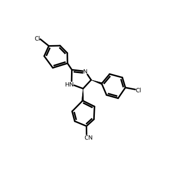 N#Cc1ccc([C@H]2NC(c3ccc(Cl)cc3)=N[C@H]2c2ccc(Cl)cc2)cc1